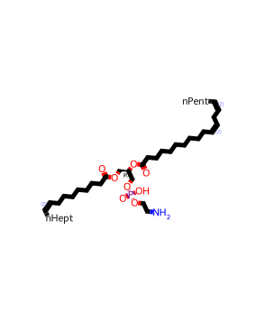 CCCCC/C=C\C/C=C\CCCCCCCCCC(=O)O[C@H](COC(=O)CCCCCCC/C=C\CCCCCCC)COP(=O)(O)OCCN